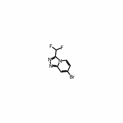 FC(F)c1nnc2cc(Br)ccn12